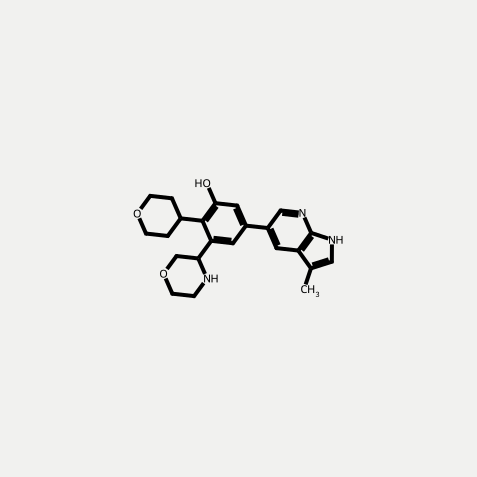 Cc1c[nH]c2ncc(-c3cc(O)c(C4CCOCC4)c(C4COCCN4)c3)cc12